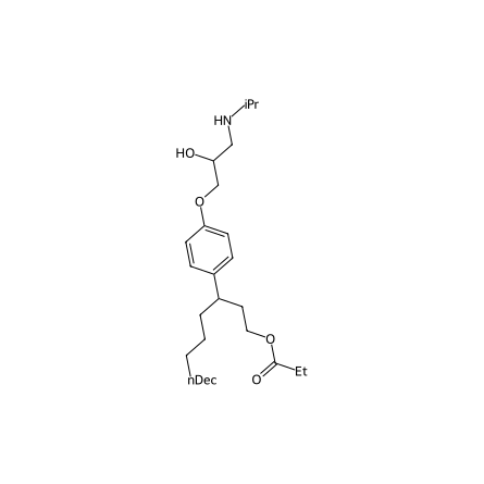 CCCCCCCCCCCCCC(CCOC(=O)CC)c1ccc(OCC(O)CNC(C)C)cc1